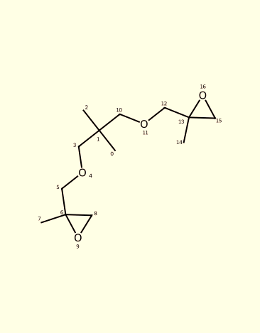 CC(C)(COCC1(C)CO1)COCC1(C)CO1